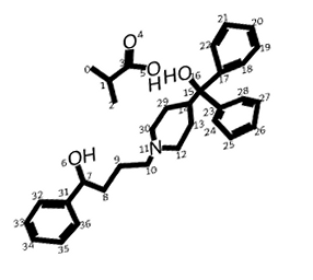 CC(C)C(=O)O.OC(CCCN1CCC(C(O)(c2ccccc2)c2ccccc2)CC1)c1ccccc1